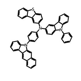 c1ccc(-n2c3ccccc3c3cc(N(c4ccc(-n5c6ccccc6c6cc7ccccc7cc65)cc4)c4ccc5sc6ccccc6c5c4)ccc32)cc1